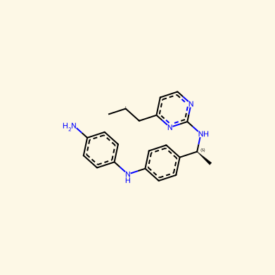 C[CH]Cc1ccnc(N[C@@H](C)c2ccc(Nc3ccc(N)cc3)cc2)n1